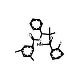 Cc1cc(C)cc(C(=O)N(NC(=O)c2ccccc2F)C(c2ccccc2)C(C)(C)C)c1